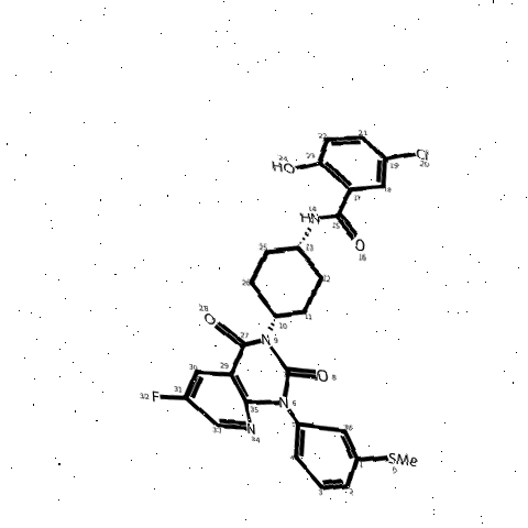 CSc1cccc(-n2c(=O)n([C@H]3CC[C@@H](NC(=O)c4cc(Cl)ccc4O)CC3)c(=O)c3cc(F)cnc32)c1